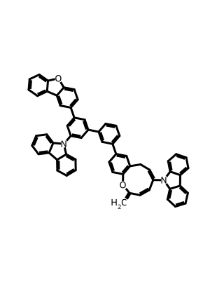 C=C1/C=C\C(n2c3ccccc3c3ccccc32)=C/Cc2cc(-c3cccc(-c4cc(-c5ccc6oc7ccccc7c6c5)cc(-n5c6ccccc6c6ccccc65)c4)c3)ccc2O1